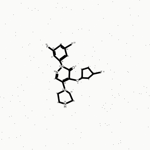 O=c1c(OC2CCC(F)C2)c(N2CCNCC2)cnn1-c1cc(F)cc(F)c1